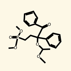 COC(C)OC(CCP(=O)(OC)OC)(C(=O)c1ccccc1)c1ccccc1